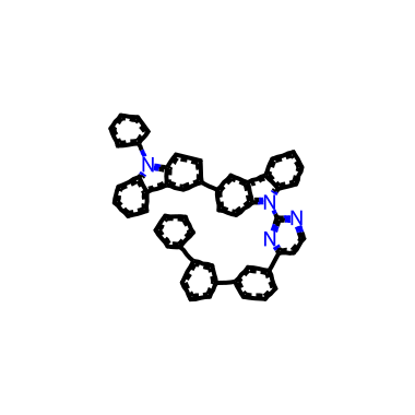 c1ccc(-c2cccc(-c3cccc(-c4ccnc(-n5c6ccccc6c6cc(-c7ccc8c(c7)c7ccccc7n8-c7ccccc7)ccc65)n4)c3)c2)cc1